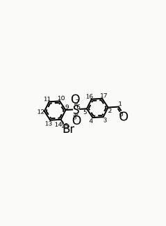 O=Cc1ccc(S(=O)(=O)c2ccccc2Br)cc1